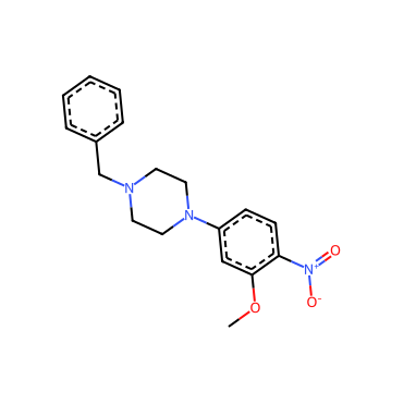 COc1cc(N2CCN(Cc3ccccc3)CC2)ccc1[N+](=O)[O-]